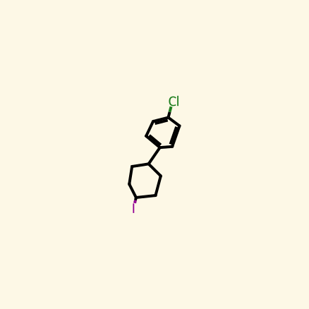 Clc1ccc(C2CCC(I)CC2)cc1